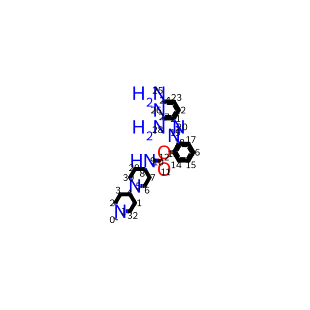 CN1CCC(N2CCC(NC(=O)Oc3ccccc3/N=N/c3ccc(N)nc3N)CC2)CC1